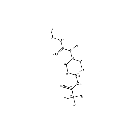 CCOC(=O)C(C)C1CCN(OC(=O)C(C)(C)C)CC1